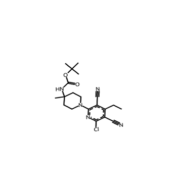 CCc1c(C#N)c(Cl)nc(N2CCC(C)(NC(=O)OC(C)(C)C)CC2)c1C#N